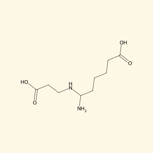 NC(CCCCC(=O)O)NCCC(=O)O